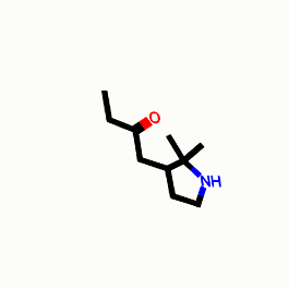 CCC(=O)CC1CCNC1(C)C